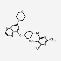 Cc1nc(C)c(C)c(N[C@H]2CC[C@@H](Oc3cc(N4CCOCC4)cc4nccnc34)CC2)n1